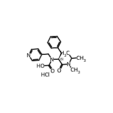 CC(C)N(C)C(=O)[C@H](Cc1ccccc1)N(Cc1ccncc1)C(=O)O.Cl